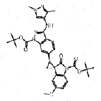 COc1ccc2c(c1)[C@]1(C[C@H]1c1ccc3c(Nc4cn(C)nc4C)nn(C(=O)OC(C)(C)C)c3c1)C(=O)N2C(=O)OC(C)(C)C